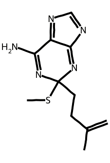 C=C(C)CCC1(SC)N=C(N)C2=NC=NC2=N1